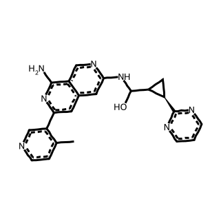 Cc1ccncc1-c1cc2cc(NC(O)C3C[C@H]3c3ncccn3)ncc2c(N)n1